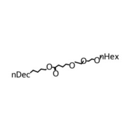 CCCCCCCCCCCCCCOC(=O)CCCOCCOCCOCCCCCC